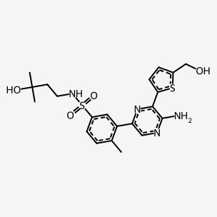 Cc1ccc(S(=O)(=O)NCCC(C)(C)O)cc1-c1cnc(N)c(-c2ccc(CO)s2)n1